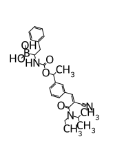 CCN(C(=O)C(C#N)=Cc1cccc(C(C)OC(=O)NC(Cc2ccccc2)B(O)O)c1)C(C)C